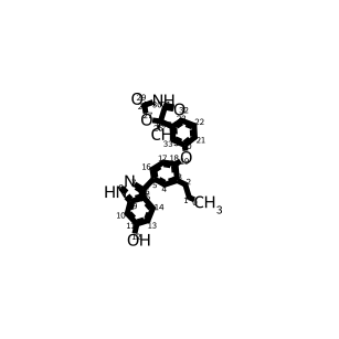 CCCc1cc(-c2n[nH]c3cc(O)ccc23)ccc1Oc1cccc([C@@]2(C)OC(=O)NC2=O)c1